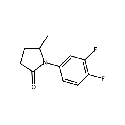 CC1CCC(=O)N1c1ccc(F)c(F)c1